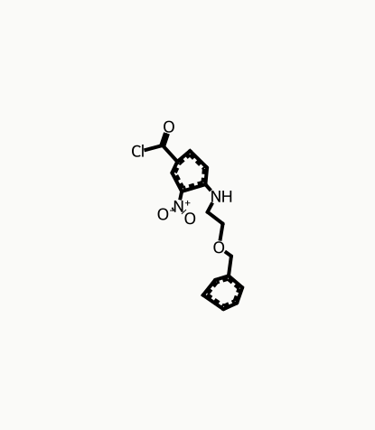 O=C(Cl)c1ccc(NCCOCc2ccccc2)c([N+](=O)[O-])c1